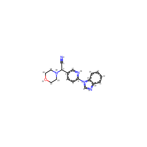 N#CC(c1ccc(-n2cnc3ccccc32)nc1)N1CCOCC1